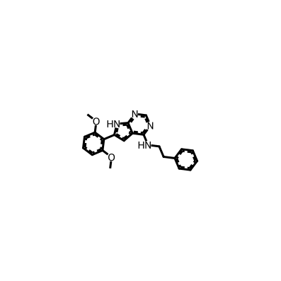 COc1cccc(OC)c1-c1cc2c(NCCc3ccccc3)ncnc2[nH]1